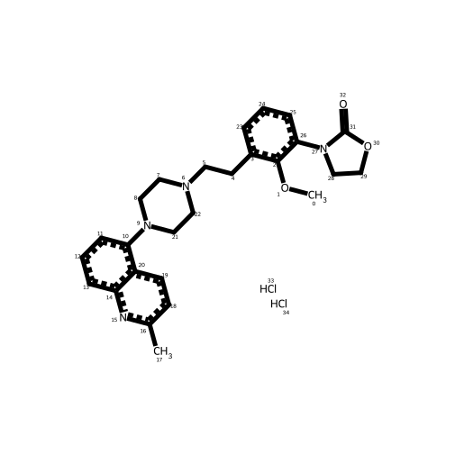 COc1c(CCN2CCN(c3cccc4nc(C)ccc34)CC2)cccc1N1CCOC1=O.Cl.Cl